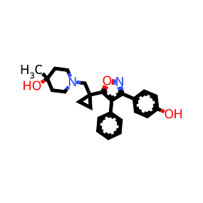 CC1(O)CCN(CC2(c3onc(-c4ccc(O)cc4)c3-c3ccccc3)CC2)CC1